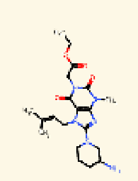 CCOC(=O)Cn1c(=O)c2c(nc(N3CCCC(N)C3)n2CC=C(C)C)n(C)c1=O